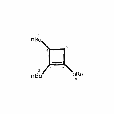 CCCCC1=C(CCCC)C(CCCC)C1